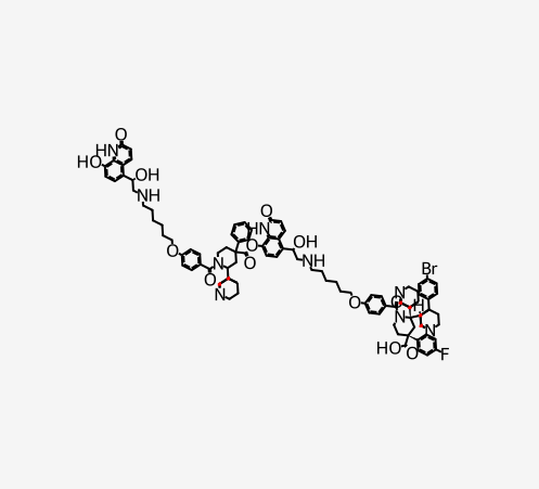 O=C(c1ccc(OCCCCCCNC[C@H](O)c2ccc(O)c3[nH]c(=O)ccc23)cc1)N1CCC(C(=O)Oc2ccc([C@@H](O)CNCCCCCCOc3ccc(C(=O)N4CC[C@](C(=O)O)(c5ccc(F)cc5)C[C@@]4(C4CN5CCC4CC5)[C@H]4CN5CCC4(c4ccc(Br)cc4)CC5)cc3)c3ccc(=O)[nH]c23)(c2ccccc2)CC1C1CN2CCC1CC2